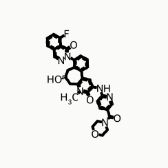 Cn1c2c(cc(Nc3ccc(C(=O)N4CCOCC4)cn3)c1=O)-c1cccc(-n3ncc4cccc(F)c4c3=O)c1C[C@@H](O)C2